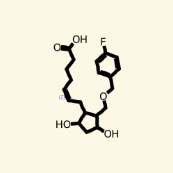 O=C(O)CCC/C=C\CC1C(O)CC(O)C1COCc1ccc(F)cc1